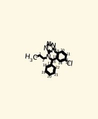 CCCN1c2nnnn2-c2ccc(Cl)cc2C1c1ccccc1